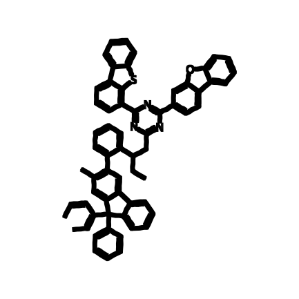 C/C=C\C(=C/C)C1(c2ccccc2)c2ccccc2-c2cc(-c3ccccc3C(CC)Cc3nc(-c4ccc5c(c4)oc4ccccc45)nc(-c4cccc5c4sc4ccccc45)n3)c(C)cc21